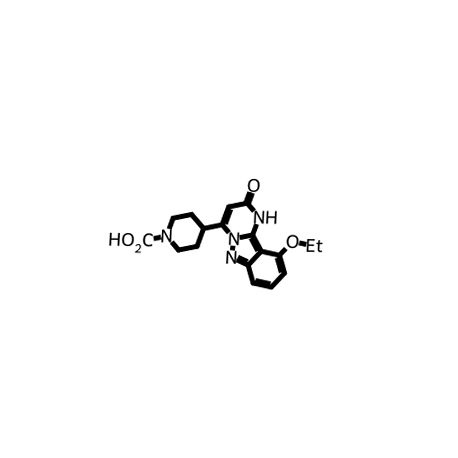 CCOc1cccc2nn3c(C4CCN(C(=O)O)CC4)cc(=O)[nH]c3c12